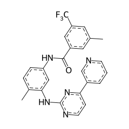 Cc1cc(C(=O)Nc2ccc(C)c(Nc3nccc(-c4cccnc4)n3)c2)cc(C(F)(F)F)c1